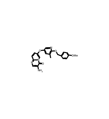 COc1ccc(COc2ncc(Oc3ccc4ncc(N)c(=O)n4c3)cc2C)cc1